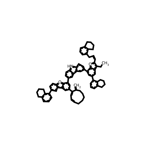 C=C1CCCCC/C=C\C=C/1c1cc(-c2ccc3[nH]c4ccc(-c5cc(-c6cccc7c6CCCC7)cc6c(CC)c(/C=C\Cc7cccc8c7CCCC8)oc56)cc4c3c2)c2oc3ccc(-c4cccc5c4CCCC5)cc3c2c1